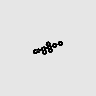 c1ccc(-c2ccc(-c3c4ccccc4c(-c4ccc(-c5cn6ccccc6n5)c5ccccc45)c4ccccc34)cc2)cc1